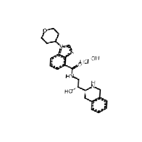 Cl.Cl.O=C(NC[C@@H](O)[C@@H]1Cc2ccccc2CN1)c1cccc2c1ncn2C1CCOCC1